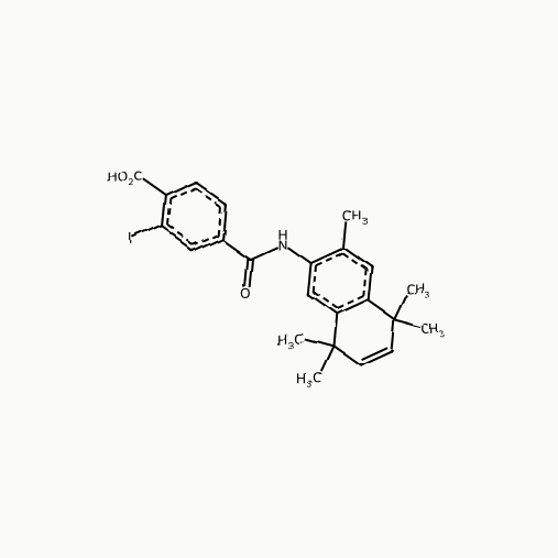 Cc1cc2c(cc1NC(=O)c1ccc(C(=O)O)c(I)c1)C(C)(C)C=CC2(C)C